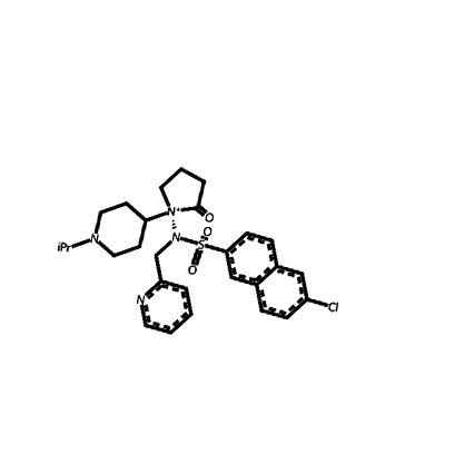 CC(C)N1CCC([N@@+]2(N(Cc3ccccn3)S(=O)(=O)c3ccc4cc(Cl)ccc4c3)CCCC2=O)CC1